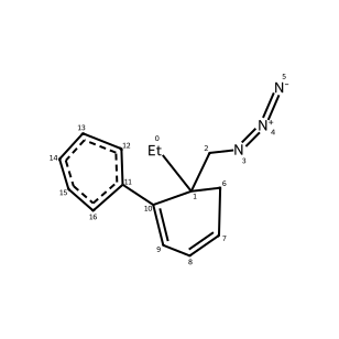 CCC1(CN=[N+]=[N-])CC=CC=C1c1ccccc1